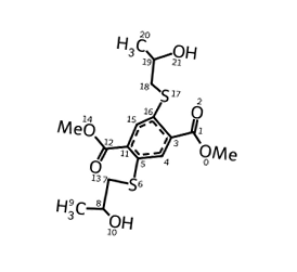 COC(=O)c1cc(SCC(C)O)c(C(=O)OC)cc1SCC(C)O